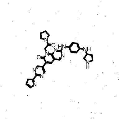 O=C(Cn1c(=O)c(-c2cnc(C3=NC=CC3)nc2)cc2cnc(Nc3ccc(NC4CCNC4)cc3)nc21)N1CCCC1